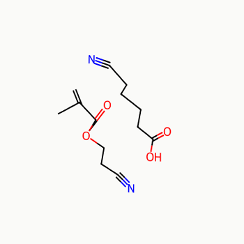 C=C(C)C(=O)OCCC#N.N#CCCCCC(=O)O